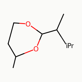 CC1CCOC(C(C)C(C)C)O1